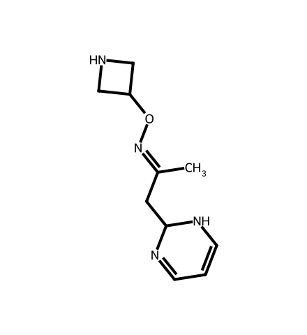 C/C(CC1N=CC=CN1)=N\OC1CNC1